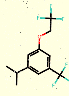 CC(C)c1cc(OCC(F)(F)F)cc(C(F)(F)F)c1